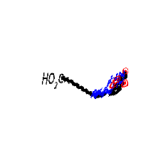 O=C(O)CCCCCCCCCCCCCCn1cc(CNc2cccc3c2C(=O)N(C2CCC(=O)NC2=O)C3=O)nn1